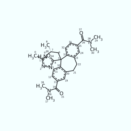 Cc1nnc(C2(C[C@@H](C)N)c3ccc(C(=O)N(C)C)cc3CCc3cc(C(=O)N(C)C)ccc32)o1